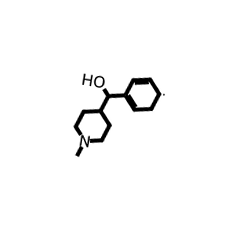 CN1CCC(C(O)C2=CC[CH]C=C2)CC1